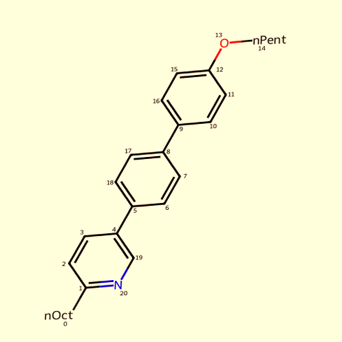 CCCCCCCCc1ccc(-c2ccc(-c3ccc(OCCCCC)cc3)cc2)cn1